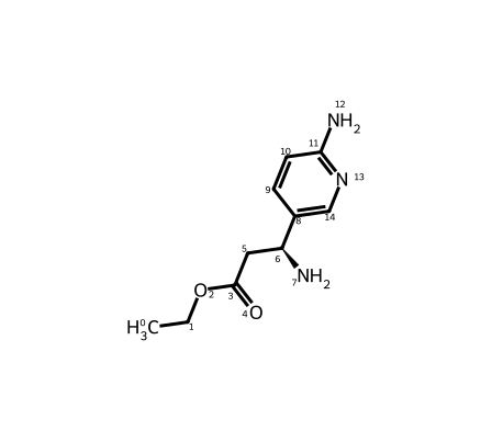 CCOC(=O)C[C@H](N)c1ccc(N)nc1